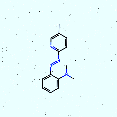 Cc1ccc(N=Nc2ccccc2N(C)C)nc1